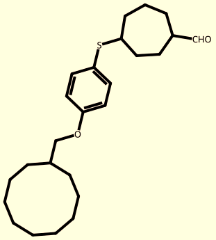 O=CC1CCCC(Sc2ccc(OCC3CCCCCCCCC3)cc2)CC1